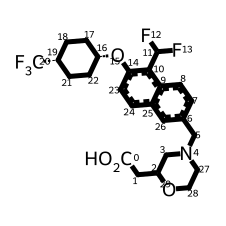 O=C(O)CC1CN(Cc2ccc3c(C(F)F)c(O[C@H]4CC[C@@H](C(F)(F)F)CC4)ccc3c2)CCO1